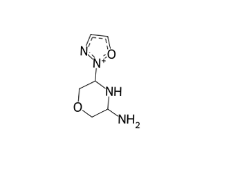 NC1COCC([n+]2ncco2)N1